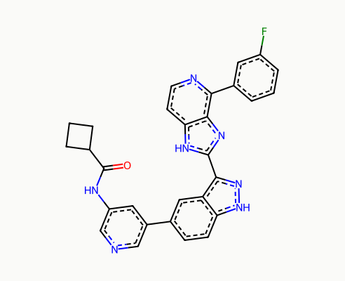 O=C(Nc1cncc(-c2ccc3[nH]nc(-c4nc5c(-c6cccc(F)c6)nccc5[nH]4)c3c2)c1)C1CCC1